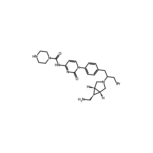 CC(C)CC(Cc1ccc(-n2ccc(NC(=O)N3CCNCC3)nc2=O)cc1)N1C[C@@H]2[C@@H](CN)[C@@H]2C1